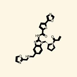 C=CC(=O)N1CCC[C@@H]1Cn1c(NC(=O)c2ccc(-c3cnco3)s2)nc2cc(CNCc3ncco3)ccc21